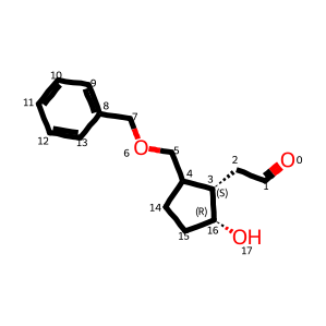 O=CC[C@H]1C(COCc2ccccc2)CC[C@H]1O